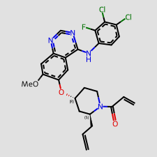 C=CC[C@H]1C[C@H](Oc2cc3c(Nc4ccc(Cl)c(Cl)c4F)ncnc3cc2OC)CCN1C(=O)C=C